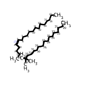 CCCC/C=C\CCCCCCCCCCCCC.CCCCCCCCCCCCCCCC(C)(C)C